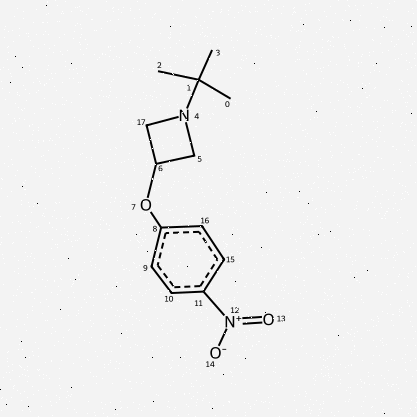 CC(C)(C)N1CC(Oc2ccc([N+](=O)[O-])cc2)C1